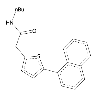 CCCCNC(=O)Cc1ccc(-c2cccc3ccccc23)s1